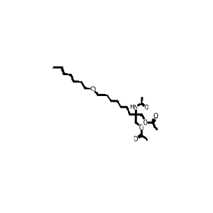 CCCCCCCOCCCCCCCC(COC(C)=O)(COC(C)=O)NC(C)=O